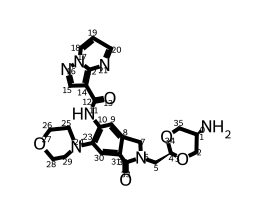 N[C@H]1CO[C@@H](CN2Cc3cc(NC(=O)c4cnn5cccnc45)c(N4CCOCC4)cc3C2=O)OC1